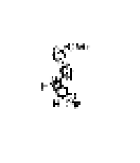 COC[C@H]1CN(c2cc(-c3n[nH]c4ccc(OC5(C)CC5)cc34)ncn2)CCO1